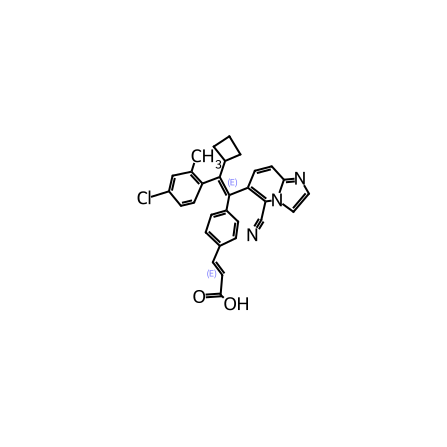 Cc1cc(Cl)ccc1/C(=C(\c1ccc(/C=C/C(=O)O)cc1)c1ccc2nccn2c1C#N)C1CCC1